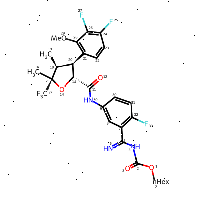 CCCCCCOC(=O)NC(=N)c1cc(NC(=O)[C@@H]2O[C@@](C)(C(F)(F)F)[C@@H](C)[C@H]2c2ccc(F)c(F)c2OC)ccc1F